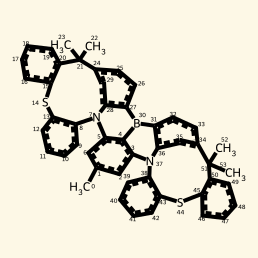 Cc1cc2c3c(c1)N1c4ccccc4Sc4ccccc4C(C)(C)c4ccc(c1c4)B3c1ccc3cc1N2c1ccccc1Sc1ccccc1C3(C)C